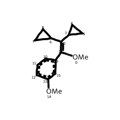 COC(=C(C1CC1)C1CC1)c1cccc(OC)c1